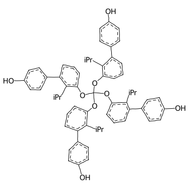 CC(C)c1c(OC(Oc2cccc(-c3ccc(O)cc3)c2C(C)C)(Oc2cccc(-c3ccc(O)cc3)c2C(C)C)Oc2cccc(-c3ccc(O)cc3)c2C(C)C)cccc1-c1ccc(O)cc1